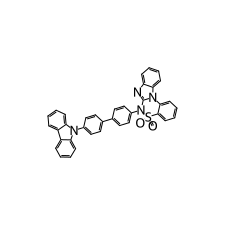 O=S1(=O)c2ccccc2-n2c(nc3ccccc32)N1c1ccc(-c2ccc(-n3c4ccccc4c4ccccc43)cc2)cc1